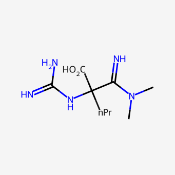 CCCC(NC(=N)N)(C(=N)N(C)C)C(=O)O